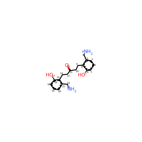 NCc1cccc(O)c1CCC(=O)CCc1c(O)cccc1CN